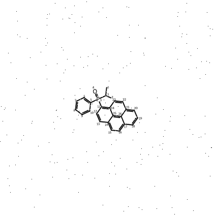 CC(C)P(=O)(c1ccccc1)c1ccc2ccc3cccc4ccc1c2c34